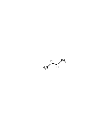 NPPP